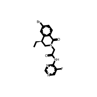 CC[C@@H]1CN(CC(=O)Nc2ncncc2F)C(=O)c2ccc(Br)cc21